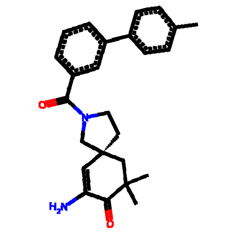 Cc1ccc(-c2cccc(C(=O)N3CC[C@]4(C=C(N)C(=O)C(C)(C)C4)C3)c2)cc1